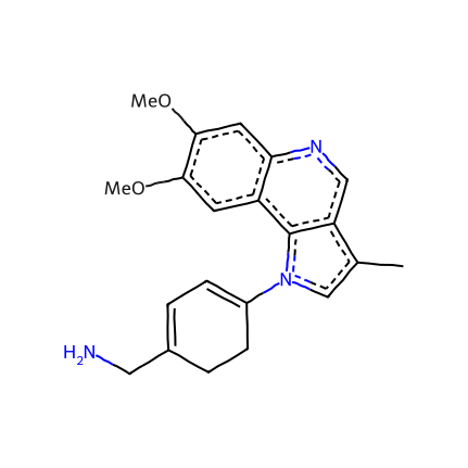 COc1cc2ncc3c(C)cn(C4=CC=C(CN)CC4)c3c2cc1OC